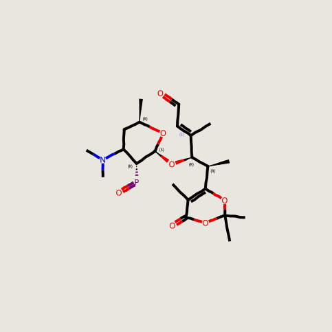 CC1=C([C@H](C)[C@@H](O[C@@H]2O[C@H](C)CC(N(C)C)[C@H]2P=O)/C(C)=C/C=O)OC(C)(C)OC1=O